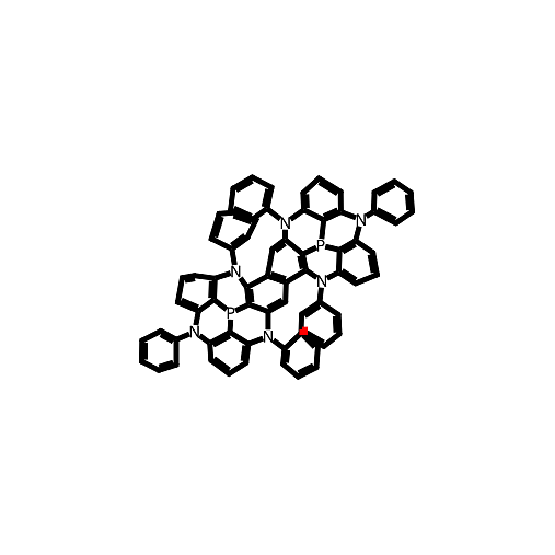 c1ccc(-n2c3cccc4c3p3c5c2cccc5n(-c2ccccc2)c2c5cc6c7c(c5cc(c23)n4-c2ccccc2)n(-c2ccccc2)c2cccc3c2p7c2c(cccc2n6-c2ccccc2)n3-c2ccccc2)cc1